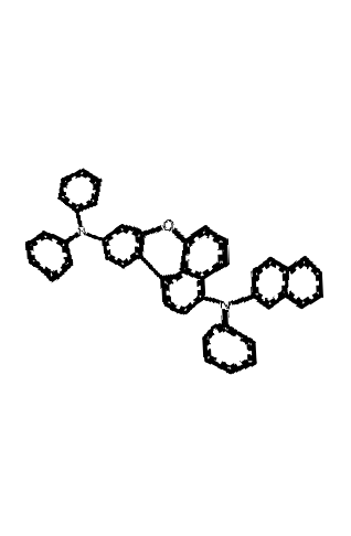 c1ccc(N(c2ccccc2)c2ccc3c(c2)Oc2cccc4c(N(c5ccccc5)c5ccc6ccccc6c5)ccc-3c24)cc1